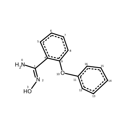 NC(=NO)c1ccccc1Oc1ccccc1